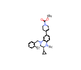 CCc1ccccc1CN1C[C@H](C2CC2)N(C(C)=O)c2ccc(C3=CCN(C(=O)OC(C)(C)C)CC3)cc21